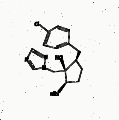 CCCC[C@@H]1CC[C@H](Cc2ccc(Cl)cc2)[C@@]1(O)Cn1cncn1